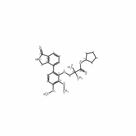 COc1ccc(-c2cccc3c2CNC3=O)c(OCC(C)(C)C(=O)OC2CCCC2)c1OC